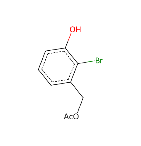 CC(=O)OCc1cccc(O)c1Br